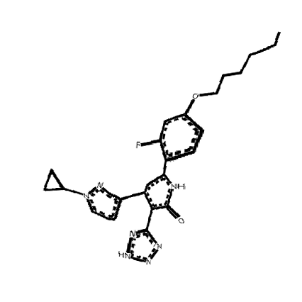 CCCCCCOc1ccc(-c2cc(-c3ccn(C4CC4)n3)c(-c3nn[nH]n3)c(=O)[nH]2)c(F)c1